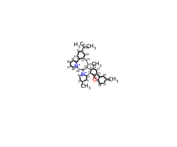 Cc1cc[n+]2c(c1)-c1c(c(C)cc3c1oc1ccc(C)cc13)C1CCc3cc(C(C)C)ccc3-c3cccc[n+]3CC12